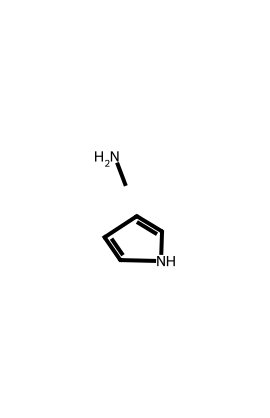 CN.c1cc[nH]c1